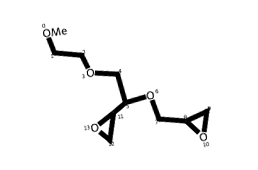 COCCOCC(OCC1CO1)C1CO1